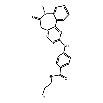 CC(C)CCNC(=O)c1ccc(Nc2ncc3c(n2)-c2ccccc2N(C)C(=O)C3)cc1